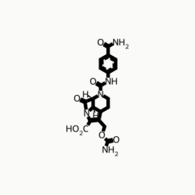 NC(=O)OCC1=C(C(=O)O)N2C(=O)[C@@H]3[C@H]2C1CCN3C(=O)Nc1ccc(C(N)=O)cc1